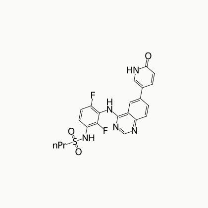 CCCS(=O)(=O)Nc1ccc(F)c(Nc2ncnc3ccc(-c4ccc(=O)[nH]c4)cc23)c1F